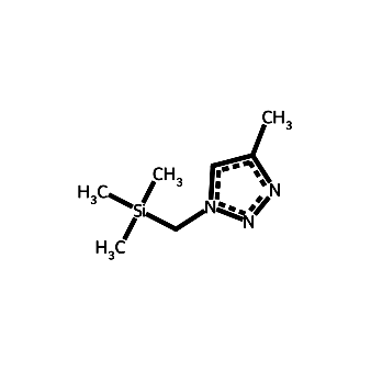 Cc1cn(C[Si](C)(C)C)nn1